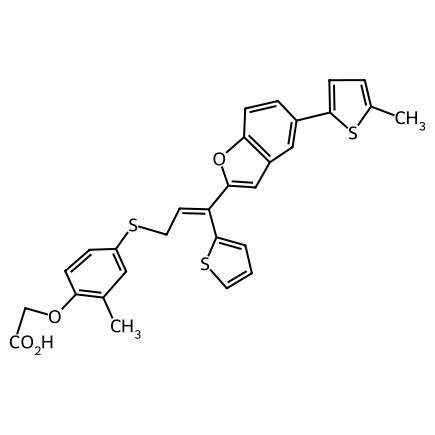 Cc1ccc(-c2ccc3oc(C(=CCSc4ccc(OCC(=O)O)c(C)c4)c4cccs4)cc3c2)s1